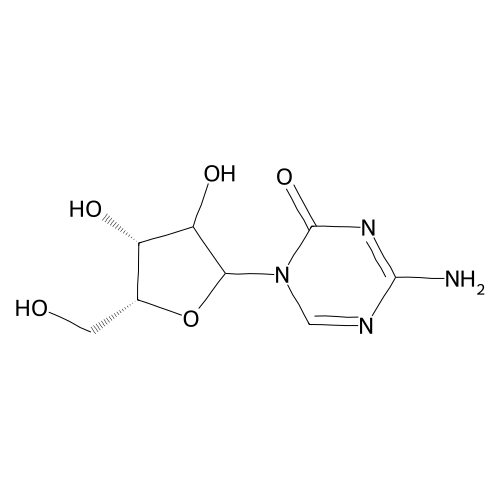 Nc1ncn(C2O[C@H](CO)[C@H](O)C2O)c(=O)n1